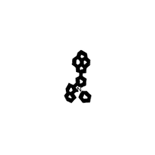 c1ccc(-n2c3ccc(-c4cc5ccc6cccc7ccc(c4)c5c67)cc3c3ccc4ccccc4c32)cc1